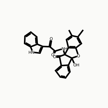 Cc1cc2c(cc1C)C1(NC(=O)C(=O)c3c[nH]c4ccccc34)C(=O)c3ccccc3C1(O)O2